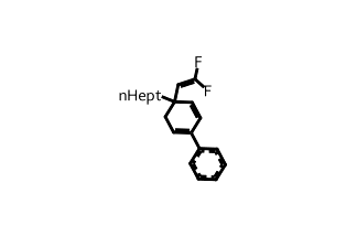 CCCCCCCC1(C=C(F)F)C=CC(c2ccccc2)=CC1